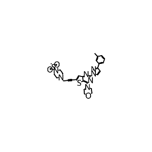 Cc1cccc(-c2ccn(-c3nc(N4CCOCC4)c4sc(C#CCN5CCN(S(C)(=O)=O)CC5)cc4n3)n2)c1